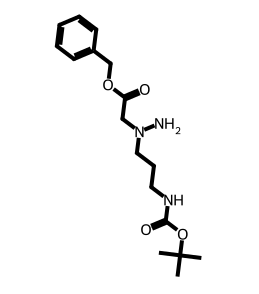 CC(C)(C)OC(=O)NCCCN(N)CC(=O)OCc1ccccc1